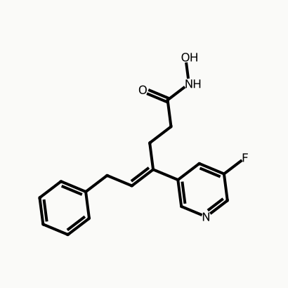 O=C(CC/C(=C\Cc1ccccc1)c1cncc(F)c1)NO